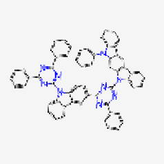 c1ccc(-c2nc(-c3ccccc3)nc(-n3c4ccccc4c4cc(-c5nc(-c6ccccc6)nc(-n6c7ccccc7c7cc8c9ccccc9n(-c9ccccc9)c8cc76)n5)ccc43)n2)cc1